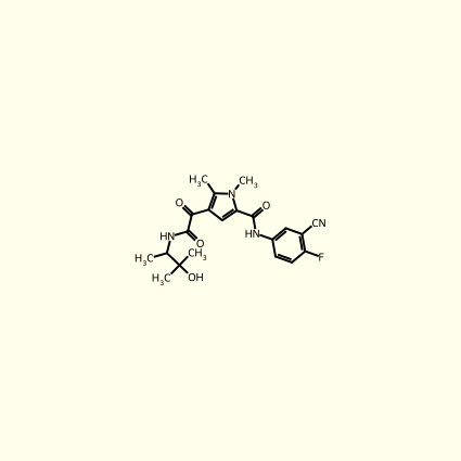 Cc1c(C(=O)C(=O)NC(C)C(C)(C)O)cc(C(=O)Nc2ccc(F)c(C#N)c2)n1C